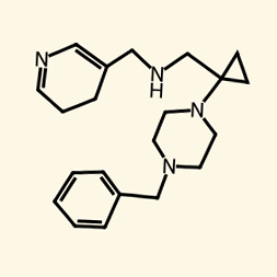 C1=NC=C(CNCC2(N3CCN(Cc4ccccc4)CC3)CC2)CC1